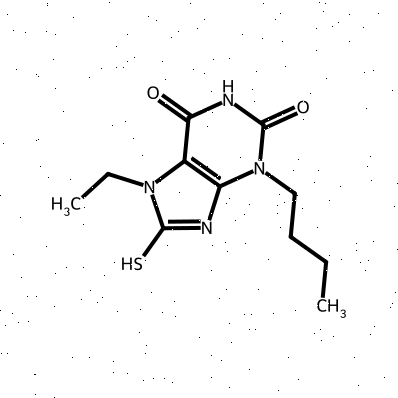 CCCCn1c(=O)[nH]c(=O)c2c1nc(S)n2CC